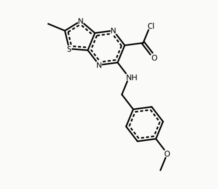 COc1ccc(CNc2nc3sc(C)nc3nc2C(=O)Cl)cc1